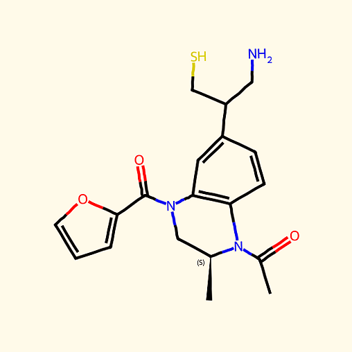 CC(=O)N1c2ccc(C(CN)CS)cc2N(C(=O)c2ccco2)C[C@@H]1C